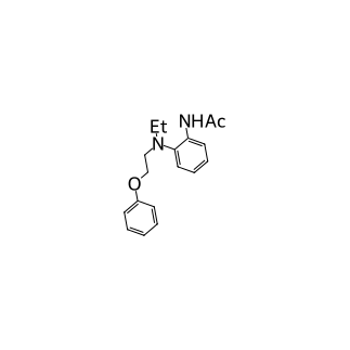 CCN(CCOc1ccccc1)c1ccccc1NC(C)=O